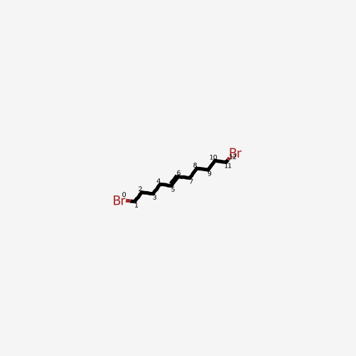 BrCCCCC=CCCCCCBr